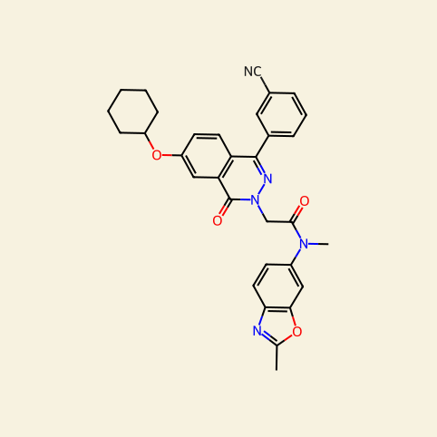 Cc1nc2ccc(N(C)C(=O)Cn3nc(-c4cccc(C#N)c4)c4ccc(OC5CCCCC5)cc4c3=O)cc2o1